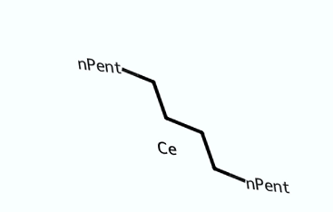 [CH2]CCCCCCCCCCCCC.[Ce]